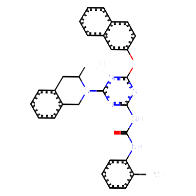 COc1ccccc1NC(=O)Nc1nc(Oc2ccc3ccccc3c2)nc(N2Cc3ccccc3CC2C(=O)O)n1